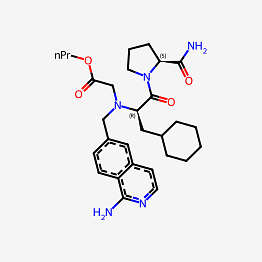 CCCOC(=O)CN(Cc1ccc2c(N)nccc2c1)[C@H](CC1CCCCC1)C(=O)N1CCC[C@H]1C(N)=O